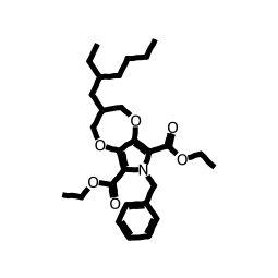 CCCCC(CC)CC1COc2c(c(C(=O)OCC)n(Cc3ccccc3)c2C(=O)OCC)OC1